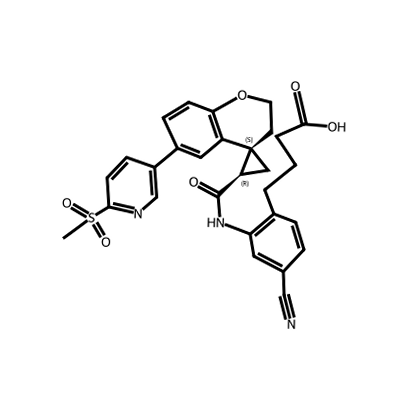 CS(=O)(=O)c1ccc(-c2ccc3c(c2)[C@]2(CCO3)C[C@H]2C(=O)Nc2cc(C#N)ccc2CCCC(=O)O)cn1